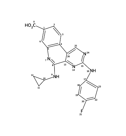 O=C(O)c1ccc2c(c1)nc(NC1CC1)c1nc(Nc3ccc(F)cc3)ncc12